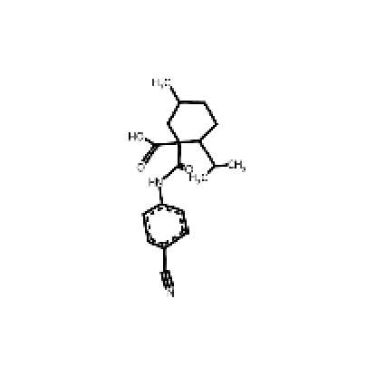 CC1CCC(C(C)C)C(C(=O)O)(C(=O)Nc2ccc(C#N)cc2)C1